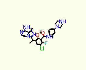 Cc1nc(C(C)c2cc(Cl)c(F)c(C(=O)Nc3ccc(N4CCNCC4)cc3)c2OC(C)C)n2ccnc(N)c12